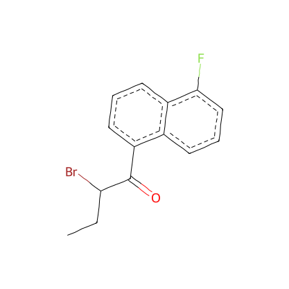 CCC(Br)C(=O)c1cccc2c(F)cccc12